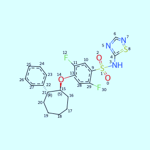 O=S(=O)(Nc1ncns1)c1cc(F)c(O[C@H]2CCCCC[C@@H]2c2ccccc2)cc1F